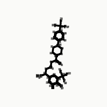 CC(COCC(=O)N1CCN(c2ncc(C(F)(F)F)cn2)CC1)c1c[nH]c(=O)c(C(F)(F)F)c1